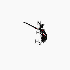 CCCCCCCCCCCCCCCCCCC[C@H](COP(=O)(O)OC[C@@]12CO[C@@](C#N)(c3ccc4c(N)ncnn34)[C@@H]1OC(C)(C)O2)OCc1cc(F)cc(C#N)c1